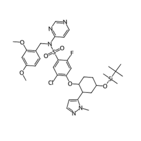 COc1ccc(CN(c2ccncn2)S(=O)(=O)c2cc(Cl)c(OC3CCC(O[Si](C)(C)C(C)(C)C)CC3c3ccnn3C)cc2F)c(OC)c1